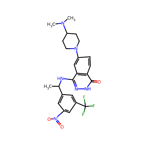 CC(Nc1n[nH]c(=O)c2ccc(N3CCC(N(C)C)CC3)cc12)c1cc([N+](=O)[O-])cc(C(F)(F)F)c1